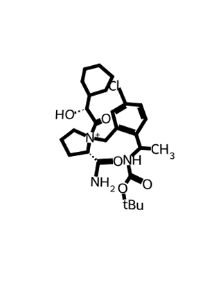 CC(NC(=O)OC(C)(C)C)c1ccc(Cl)cc1C[N+]1(C(=O)[C@H](O)C2CCCCC2)CCC[C@H]1C(N)=O